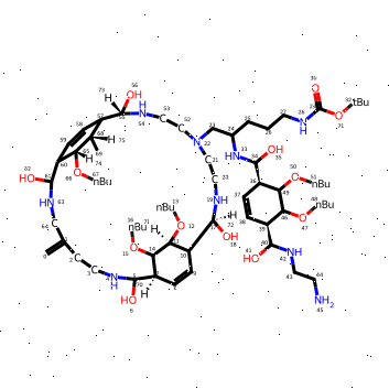 C=C1CCNC(O)[C@@H]2C=CC([C@H](OCCCC)C2OCCCC)[C@H](O)NCCN(CC(CCCNC(=O)OC(C)(C)C)NC(O)[C@@H]2C=C[C@H](C(O)NCCN)C(OCCCC)C2OCCCC)CCN[C@@H](O)C2C=CC(C(O)NC1)[C@@H](OCCCC)[C@H]2C